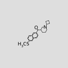 CSc1ccc2cc(C(=O)C3CCCN(C4CCC4)C3)ccc2c1